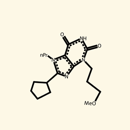 CCCn1c(C2CCCC2)nc2c1c(=O)[nH]c(=O)n2CCCOC